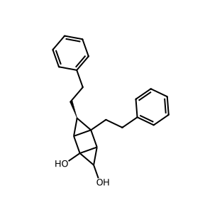 OC1C2C1(O)C1[C@@H](CCc3ccccc3)C21CCc1ccccc1